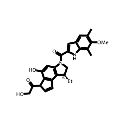 CC[C@@H]1CN(C(=O)c2cc3cc(C)c(OC)c(C)c3[nH]2)c2cc(O)c3c(c21)C=CC3C(=O)CO